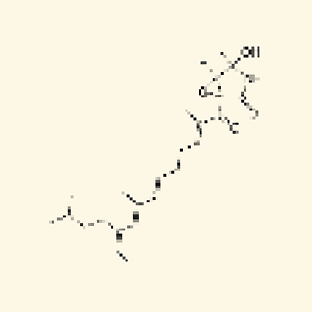 C\C=C(/C=C(C)/C=C/CC/C=C(\C)C(=O)[C@]12O[C@H]1C(C)(O)NC2=O)CCC(C)C